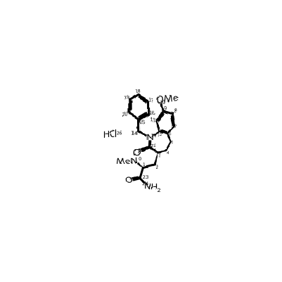 CN[C@@H](C[C@@H]1CCc2ccc(OC)cc2N(Cc2ccccc2)C1=O)C(N)=O.Cl